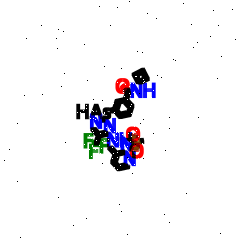 CN(c1ncccc1CNc1nc([AsH]c2cccc(C(=O)NC3CCC3)c2)ncc1C(F)(F)F)S(C)(=O)=O